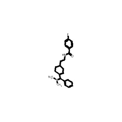 CN(C)C(c1ccccc1)C1CCC(CCNC(=O)c2ccc(F)cc2)CC1